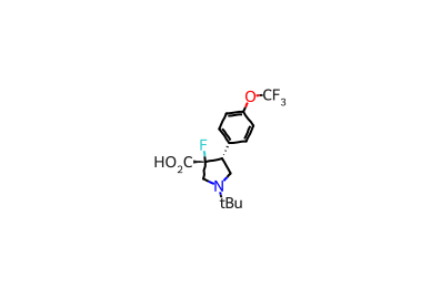 CC(C)(C)N1C[C@@H](c2ccc(OC(F)(F)F)cc2)[C@](F)(C(=O)O)C1